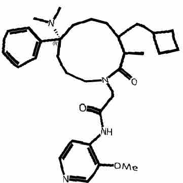 COc1cnccc1NC(=O)CN1CCC[C@](c2ccccc2)(N(C)C)CCCC(CC2CCC2)C(C)C1=O